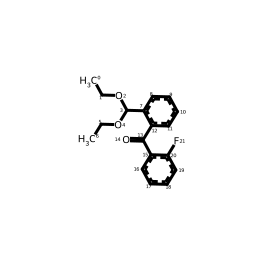 CCOC(OCC)c1ccccc1C(=O)c1ccccc1F